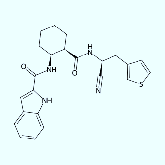 N#C[C@H](Cc1ccsc1)NC(=O)[C@@H]1CCCC[C@@H]1NC(=O)c1cc2ccccc2[nH]1